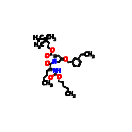 C=CCCCOC(=O)N[C@@H](CCCC)C(=O)N1C[C@H](OCc2cccc(C=C)c2)C[C@H]1C(=O)OCC[Si](C)(C)C